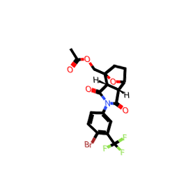 CC(=O)OCC12CCC(O1)[C@@H]1C(=O)N(c3ccc(Br)c(C(F)(F)F)c3)C(=O)[C@@H]12